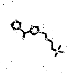 C[Si](C)(C)CCOCn1cnc(C(=O)n2ccnc2)c1